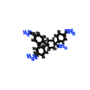 Nc1ccc(C2(N)C=CC(c3ccc(N)cc3)(c3ccc(N)cc3)C=C2)cc1